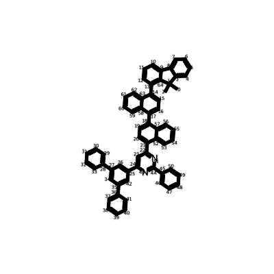 CC1(C)c2ccccc2-c2cccc(-c3ccc(-c4ccc(-c5cc(-c6cc(-c7ccccc7)cc(-c7ccccc7)c6)nc(-c6ccccc6)n5)c5ccccc45)c4ccccc34)c21